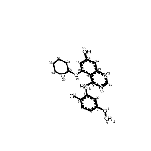 COc1ccc(Cl)c(Nc2ncnc3cc(O)cc(OC4CCCCO4)c23)c1